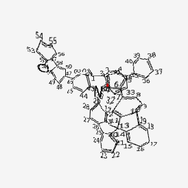 C=Cc1cccc(-c2ccc3c(c2)C2(c4ccccc4-3)c3ccccc3-c3ccc(N(c4ccc(-c5ccccc5)cc4)c4ccc(-c5ccc6oc7ccccc7c6c5)cc4)cc32)c1